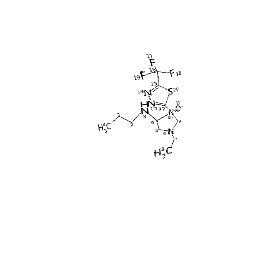 CCCNC1CN(CC)C[N+]1([O-])c1nnc(C(F)(F)F)s1